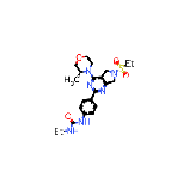 CCNC(=O)Nc1ccc(-c2nc3c(c(N4CCOC[C@@H]4C)n2)CN(S(=O)(=O)CC)C3)cc1